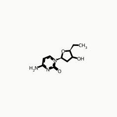 CC[C@@H]1O[C@H](n2ccc(N)nc2=O)CC1O